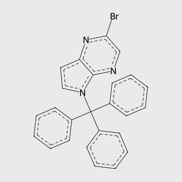 Brc1cnc2c(ccn2C(c2ccccc2)(c2ccccc2)c2ccccc2)n1